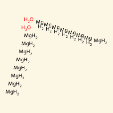 O.O.[MgH2].[MgH2].[MgH2].[MgH2].[MgH2].[MgH2].[MgH2].[MgH2].[MgH2].[MgH2].[MgH2].[MgH2].[MgH2].[MgH2].[MgH2].[MgH2]